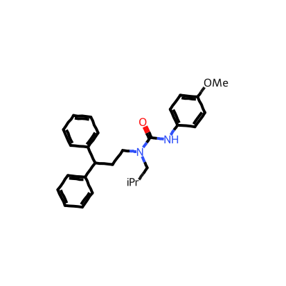 COc1ccc(NC(=O)N(CCC(c2ccccc2)c2ccccc2)CC(C)C)cc1